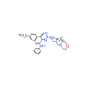 C[C@H]1COCCN1CCCNc1ncc2c(n1)c(Nc1ccccc1)nc1cc(C(=O)O)ccc12